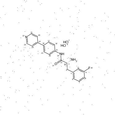 Cl.Cl.N[C@H](Cc1cccc(F)c1)C(=O)Nc1ccc(-c2ccncc2)cc1